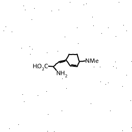 CNC1C=C/C(=C\C(N)C(=O)O)CC1